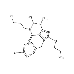 CCCOc1nc2c(n1Cc1ccc(Cl)cc1)C(=O)N(CCCO)C(O)N2C